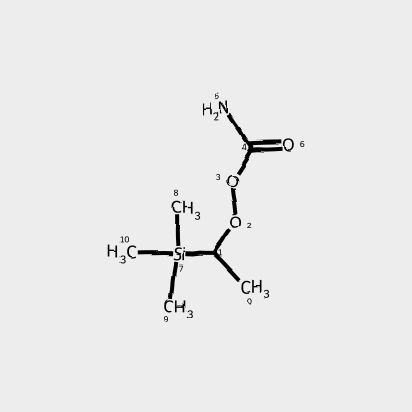 CC(OOC(N)=O)[Si](C)(C)C